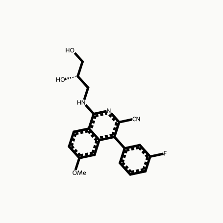 COc1ccc2c(NC[C@H](O)CO)nc(C#N)c(-c3cccc(F)c3)c2c1